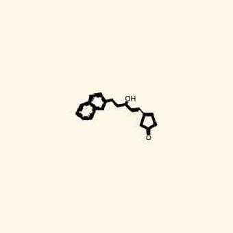 O=C1CC[C@H](/C=C/C(O)CCc2ccc3ccccc3c2)C1